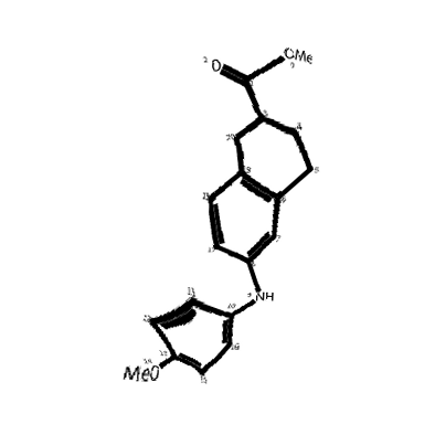 COC(=O)C1CCc2cc(Nc3ccc(OC)cc3)ccc2C1